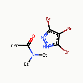 Brc1n[nH]c(Br)c1Br.CCCC(=O)N(CC)CC